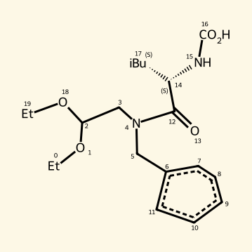 CCOC(CN(Cc1ccccc1)C(=O)[C@@H](NC(=O)O)[C@@H](C)CC)OCC